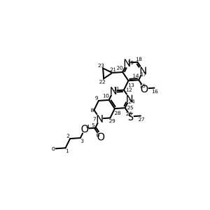 CCCCOC(=O)N1CCc2nc(-c3c(OC)ncnc3C3CC3)nc(SC)c2C1